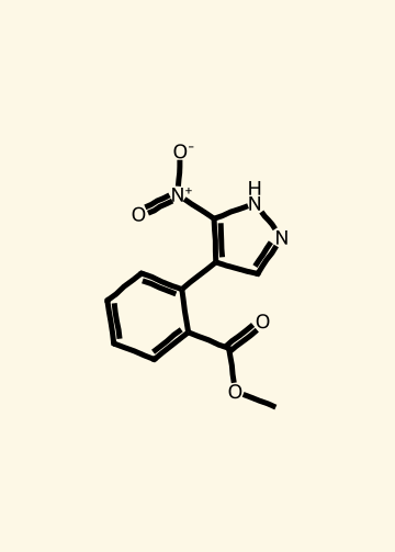 COC(=O)c1ccccc1-c1cn[nH]c1[N+](=O)[O-]